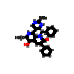 CSc1ncc(-c2nc(C(=O)O)c(O)c3cc(-c4ccccc4)c(=O)n(Cc4ccccc4)c23)cn1